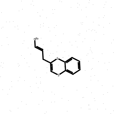 [CH2]CCC=CCC1=CSc2ccccc2S1